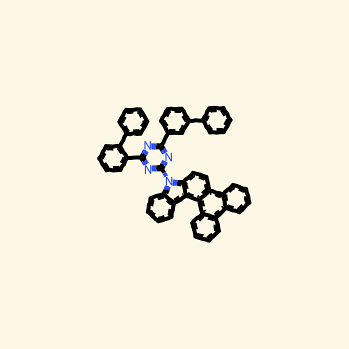 c1ccc(-c2cccc(-c3nc(-c4ccccc4-c4ccccc4)nc(-n4c5ccccc5c5c6c7ccccc7c7ccccc7c6ccc54)n3)c2)cc1